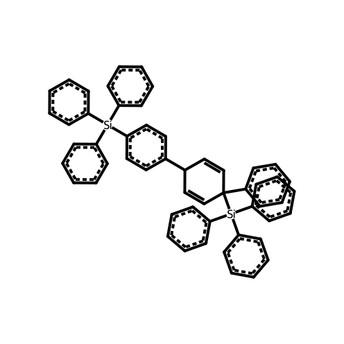 C1=CC(c2ccccc2)([Si](c2ccccc2)(c2ccccc2)c2ccccc2)C=CC1c1ccc([Si](c2ccccc2)(c2ccccc2)c2ccccc2)cc1